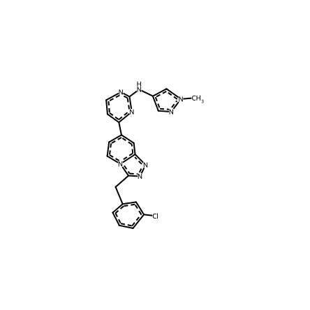 Cn1cc(Nc2nccc(-c3ccn4c(Cc5cccc(Cl)c5)nnc4c3)n2)cn1